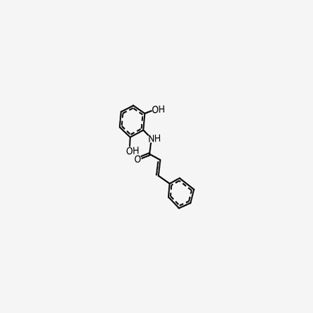 O=C(/C=C/c1ccccc1)Nc1c(O)cccc1O